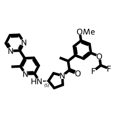 COc1cc(OC(F)F)cc(C(C)C(=O)N2CC[C@H](Nc3ccc(-c4ncccn4)c(C)n3)C2)c1